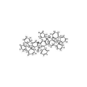 Cc1cc(P(=O)(c2ccccc2)c2ccc3c(c2)C2(c4ccccc4-c4ccccc42)c2ccccc2-3)c(I)cc1P(=O)(c1ccccc1)c1ccc2c(c1)C1(c3ccccc3-c3ccccc31)c1ccccc1-2